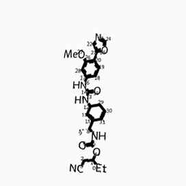 CCC(CC#N)OC(=O)N[C@H](C)C1=CC(NC(=O)Nc2ccc(-c3cnco3)c(OC)c2)CC=C1